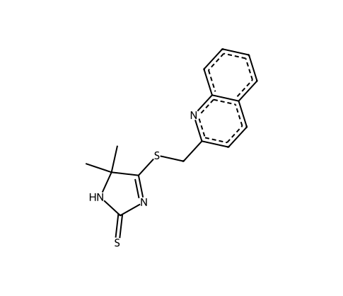 CC1(C)NC(=S)N=C1SCc1ccc2ccccc2n1